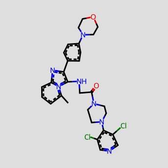 Cc1cccc2nc(-c3ccc(N4CCOCC4)cc3)c(NCC(=O)N3CCN(c4c(Cl)cncc4Cl)CC3)n12